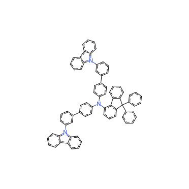 c1ccc(C2(c3ccccc3)c3ccccc3-c3c(N(c4ccc(-c5cccc(-n6c7ccccc7c7ccccc76)c5)cc4)c4ccc(-c5cccc(-n6c7ccccc7c7ccccc76)c5)cc4)cccc32)cc1